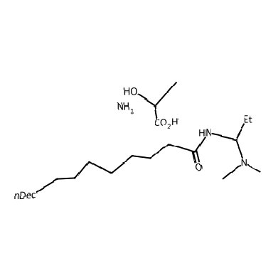 CC(O)C(=O)O.CCCCCCCCCCCCCCCCCC(=O)NC(CC)N(C)C.N